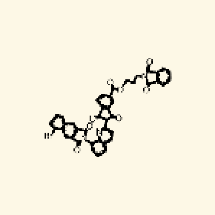 O=C(OCCCN1C(=O)c2ccccc2C1=O)c1ccc2c(c1)C(=O)C(c1ccc3cccc(N4C(=O)c5cc6cccc(Br)c6cc5C4=O)c3n1)C2=O